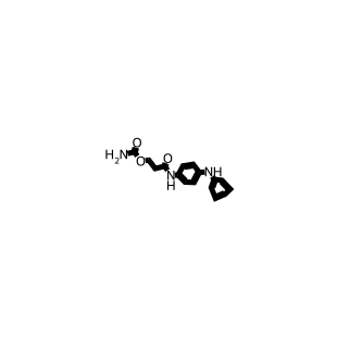 NC(=O)OCCC(=O)Nc1ccc(Nc2ccccc2)cc1